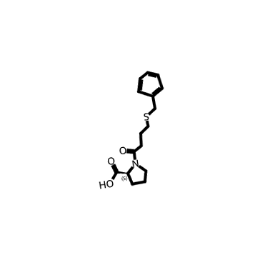 O=C(O)[C@@H]1CCCN1C(=O)CCCSCc1ccccc1